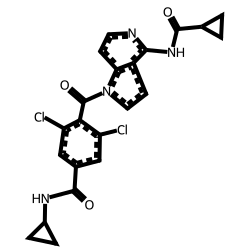 O=C(NC1CC1)c1cc(Cl)c(C(=O)n2ccc3c(NC(=O)C4CC4)nccc32)c(Cl)c1